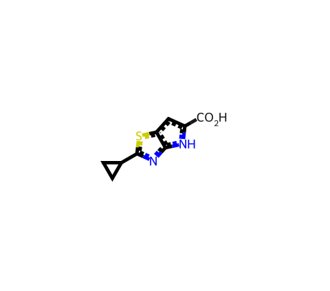 O=C(O)c1cc2sc(C3CC3)nc2[nH]1